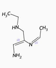 C/C=N\C(=C/N)CNCC